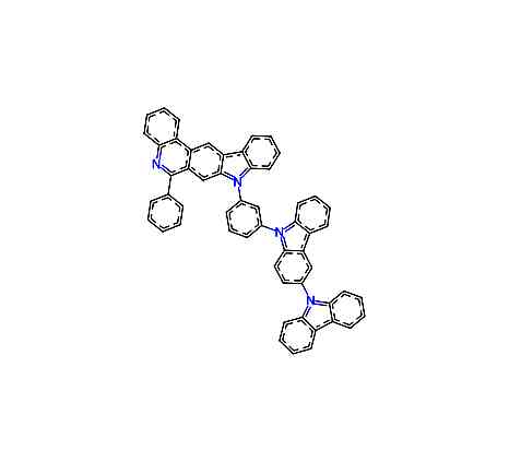 c1ccc(-c2nc3ccccc3c3cc4c5ccccc5n(-c5cccc(-n6c7ccccc7c7cc(-n8c9ccccc9c9ccccc98)ccc76)c5)c4cc23)cc1